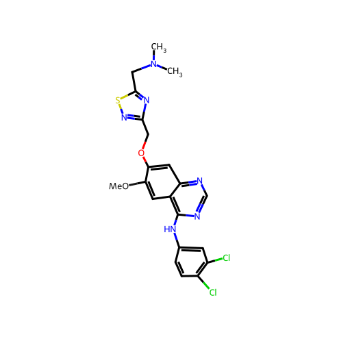 COc1cc2c(Nc3ccc(Cl)c(Cl)c3)ncnc2cc1OCc1nsc(CN(C)C)n1